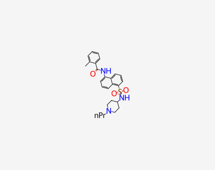 CCCN1CCC(NS(=O)(=O)c2cccc3c(NC(=O)c4ccccc4C)cccc23)CC1